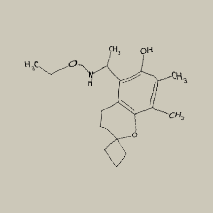 CCONC(C)c1c(O)c(C)c(C)c2c1CCC1(CCC1)O2